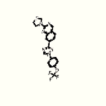 FC(F)(F)Oc1ccc(-n2cnc(-c3ccc4cnc(N5CCSC5)nc4c3)n2)cc1